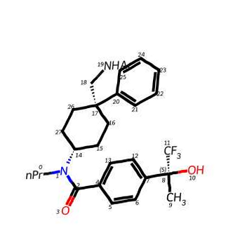 CCCN(C(=O)c1ccc([C@](C)(O)C(F)(F)F)cc1)[C@H]1CC[C@](CNC(C)=O)(c2ccccc2)CC1